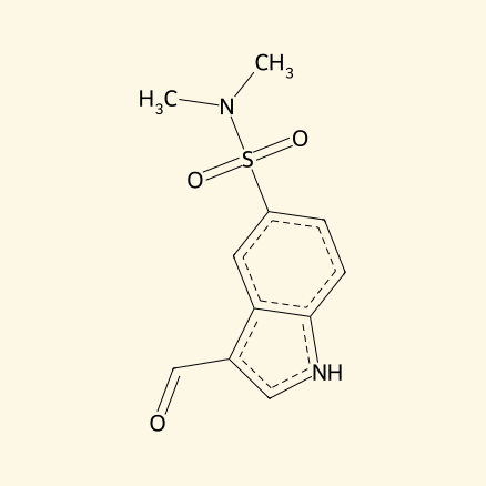 CN(C)S(=O)(=O)c1ccc2[nH]cc(C=O)c2c1